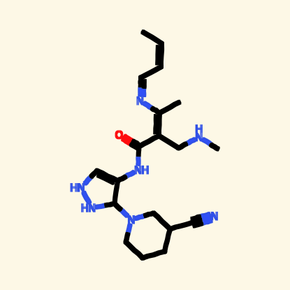 C\C=C/C=N\C(C)=C(\CNC)C(=O)NC1=CNNC1N1CCCC(C#N)C1